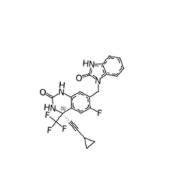 O=C1Nc2cc(Cn3c(=O)[nH]c4ccccc43)c(F)cc2[C@@](C#CC2CC2)(C(F)(F)F)N1